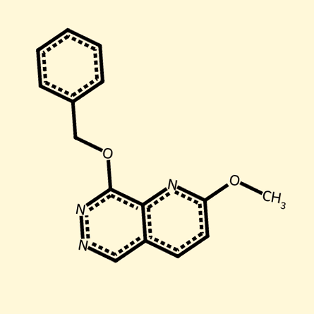 COc1ccc2cnnc(OCc3ccccc3)c2n1